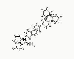 C=C/C=C\c1c(N)n(-c2ccc3c(c2)oc2cc(-c4ccc5c6ccccc6c6ccccc6c5c4)ccc23)c2ccccc12